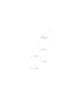 CC(=O)N1CCN(c2ccc([N+](=O)[O-])cc2)C(C)C1